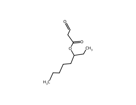 CCCCCC(CC)OC(=O)CC=O